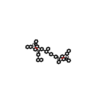 c1ccc(N(c2ccc(-c3ccc(-c4ccc(-c5ccc(-c6ccc7oc8ccccc8c7c6)c(N(c6ccc(-c7ccc8ccccc8c7)cc6)c6ccc(-c7cccc8ccccc78)cc6)c5)c5ccccc45)cc3)cc2)c2ccc(-c3ccc4ccccc4c3)cc2)c(-c2ccc3oc4ccccc4c3c2)c1